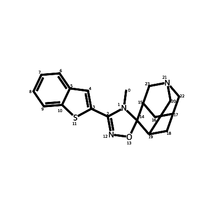 CN1C(c2cc3ccccc3s2)=NOC12C1CC3CC2CN(C3)C1